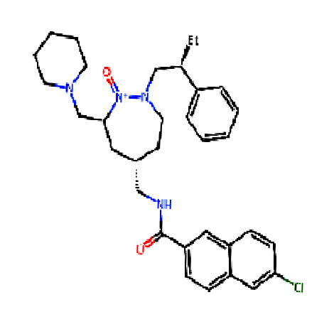 CC[C@H](CN1CC[C@H](CNC(=O)c2ccc3cc(Cl)ccc3c2)C[C@@H](CN2CCCCC2)[N+]1=O)c1ccccc1